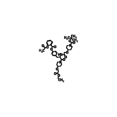 CCOC(=O)COC1CCN(C(=O)C(Cc2ccc(OC(=O)c3ccccc3OC(C)=O)cc2)NC(=O)COC2CCN(C(=O)OC(C)(C)C)CC2)CC1